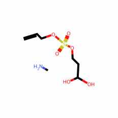 C=CCOS(=O)(=O)OCCC(O)O.CN